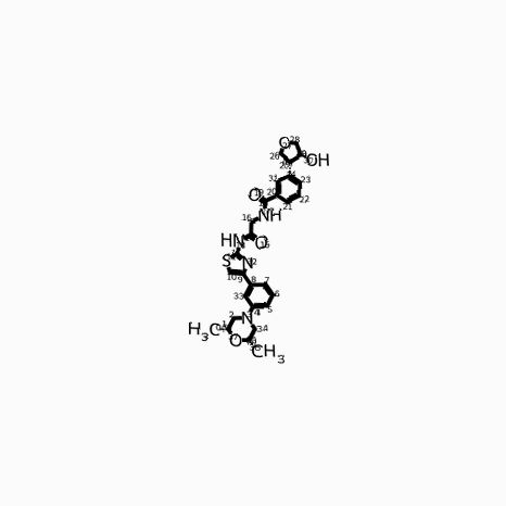 C[C@@H]1CN(c2cccc(-c3csc(NC(=O)CNC(=O)c4cccc([C@@H]5COC[C@H]5O)c4)n3)c2)C[C@H](C)O1